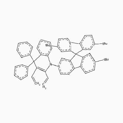 C=CC1=C(C=C)C(c2ccccc2)(c2ccccc2)c2ccccc2N1c1ccc2c(c1)C1(c3cc(C(C)(C)C)ccc3-2)c2cc(C(C)(C)C)ccc2-c2ccc(C(C)(C)C)cc21